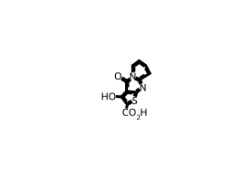 O=C(O)c1sc2nc3ccccn3c(=O)c2c1O